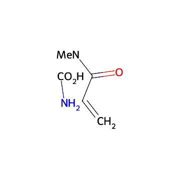 C=CC(=O)NC.NC(=O)O